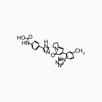 Cc1ccc(-n2cnnn2)c(-c2cc3n(c(=O)c2)[C@H](c2ncc(-c4ccc(NC(=O)O)cc4)[nH]2)CC3)c1